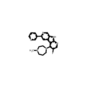 CN1CCCN(c2c(F)cnc3[nH]c4cnc(-c5cccnc5)cc4c23)CC1